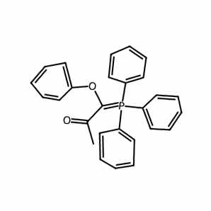 CC(=O)C(Oc1ccccc1)=P(c1ccccc1)(c1ccccc1)c1ccccc1